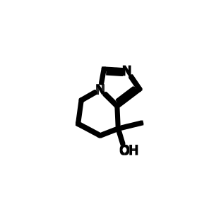 CC1(O)CCCn2cncc21